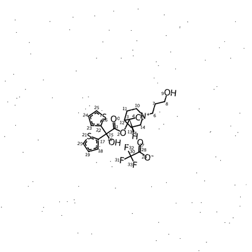 O=C(O[C@H]1C[N+]2(CCCO)CCC1CC2)C(O)(c1cccs1)c1cccs1.O=C([O-])C(F)(F)F